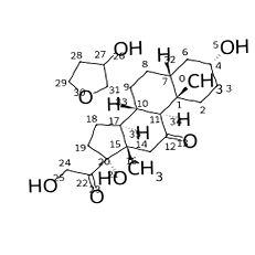 C[C@]12CC[C@@H](O)C[C@H]1CC[C@@H]1[C@@H]2C(=O)C[C@@]2(C)[C@H]1CC[C@]2(O)C(=O)CO.OC1CCOC1